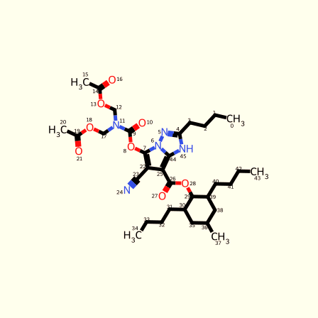 CCCCc1nn2c(OC(=O)N(COC(C)=O)COC(C)=O)c(C#N)c(C(=O)OC3C(CCCC)CC(C)CC3CCCC)c2[nH]1